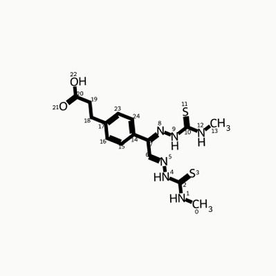 CNC(=S)NN=CC(=NNC(=S)NC)c1ccc(CCC(=O)O)cc1